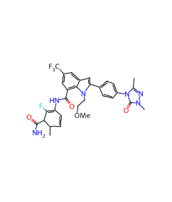 COCCn1c(-c2ccc(-n3c(C)nn(C)c3=O)cc2)cc2cc(C(F)(F)F)cc(C(=O)NC3=C(F)C(C(N)=O)C(C)C=C3)c21